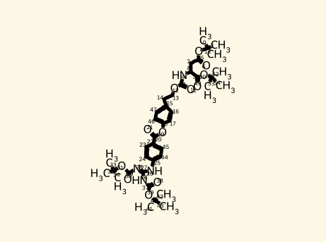 CC(C)(C)OC(=O)CC(NC(=O)OCCc1ccc(OC(=O)c2ccc(NC(=NC(=O)OC(C)(C)C)NC(=O)OC(C)(C)C)cc2)cc1)C(=O)OC(C)(C)C